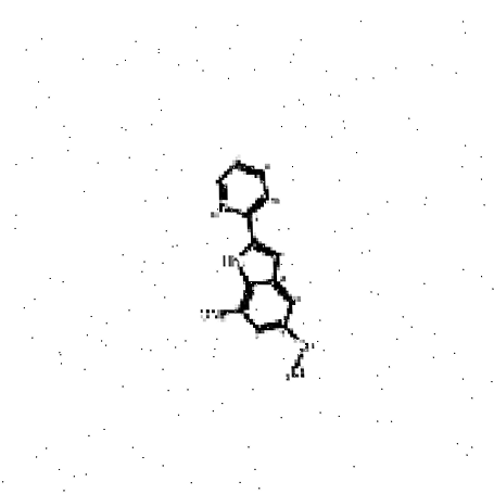 CCOc1cc(N=O)c2[nH]c(-c3ccccn3)cc2c1